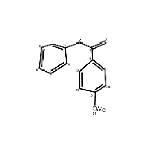 C=C(Cc1ccccc1)c1ccc(OC)cc1